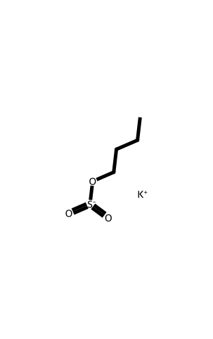 CCCCO[S-](=O)=O.[K+]